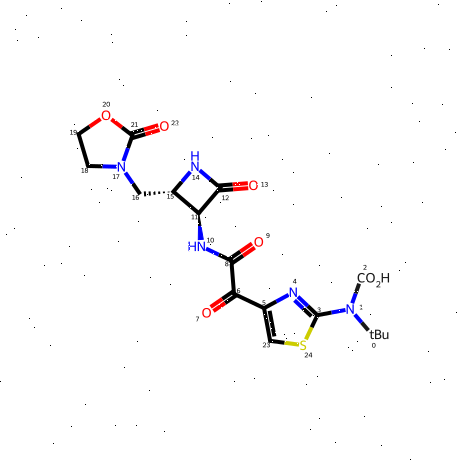 CC(C)(C)N(C(=O)O)c1nc(C(=O)C(=O)N[C@@H]2C(=O)N[C@H]2CN2CCOC2=O)cs1